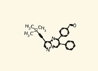 C[Si](C)(C)C#Cc1cnn2cc(-c3ccccc3)c(-c3ccc(C=O)cc3)nc12